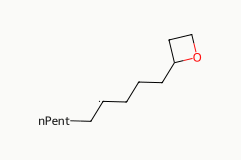 CCCCCC[CH]CCCC1CCO1